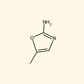 [CH2]c1cnc(N)o1